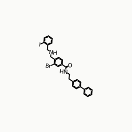 O=C(NCCc1ccc(-c2ccccc2)cc1)c1ccc(CNCc2ccccc2I)c(Br)c1